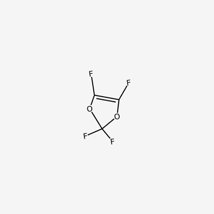 FC1=C(F)OC(F)(F)O1